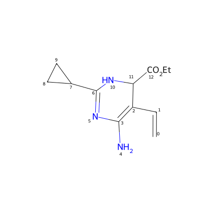 C=CC1=C(N)N=C(C2CC2)NC1C(=O)OCC